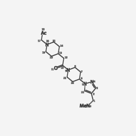 CNCc1cnn(C2CCN(C(=O)CC3CCN(CC(C)=O)CC3)CC2)c1